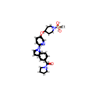 CCS(=O)(=O)N1CCC(Oc2ccc(-n3ccc4cc(C(=O)N5CCCC5)ccc43)nc2)CC1